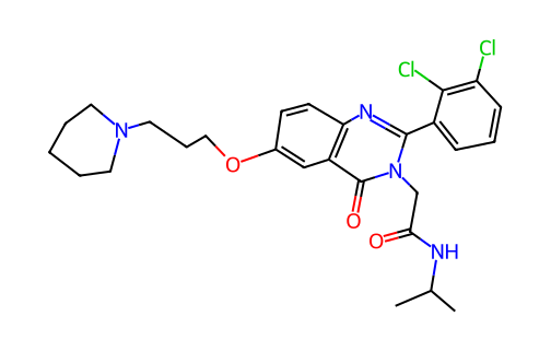 CC(C)NC(=O)Cn1c(-c2cccc(Cl)c2Cl)nc2ccc(OCCCN3CCCCC3)cc2c1=O